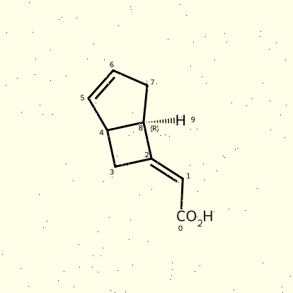 O=C(O)C=C1CC2C=CC[C@@H]12